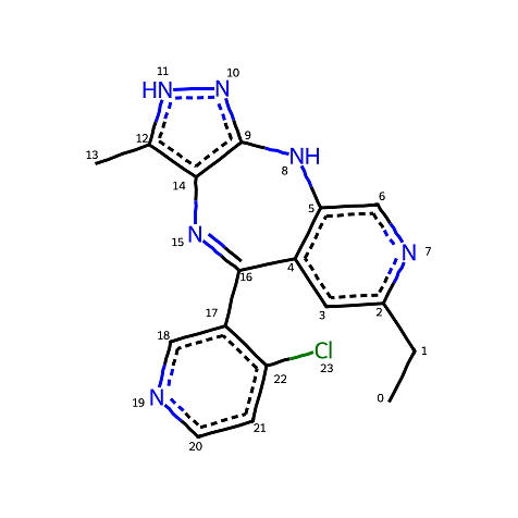 CCc1cc2c(cn1)Nc1n[nH]c(C)c1N=C2c1cnccc1Cl